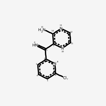 N=C(c1cccc(Cl)n1)c1nccnc1N